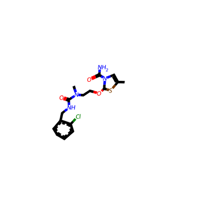 CC1=CN(C(N)=O)C(OCCN(C)C(=O)NCc2ccccc2Cl)S1